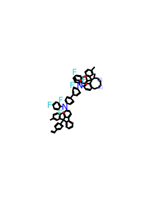 C=Cc1ccc(C2(c3cc(C)ccc3C)c3ccccc3-c3ccc(N(c4ccc(-c5ccc(N(c6ccc7c(c6)C(c6ccc(C=C)cc6)(c6cc(C)ccc6C)C(C)/C=C\C=C/C7)c6c(F)cc(F)cc6F)cc5)cc4)c4c(F)cc(F)cc4F)cc32)cc1